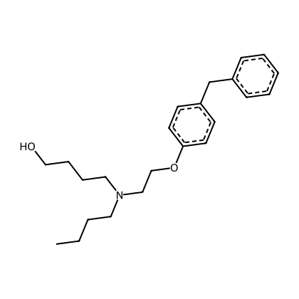 CCCCN(CCCCO)CCOc1ccc(Cc2ccccc2)cc1